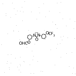 O=COc1cccc(N2CCN(c3cccc(OC(F)(F)F)c3)C2=O)c1